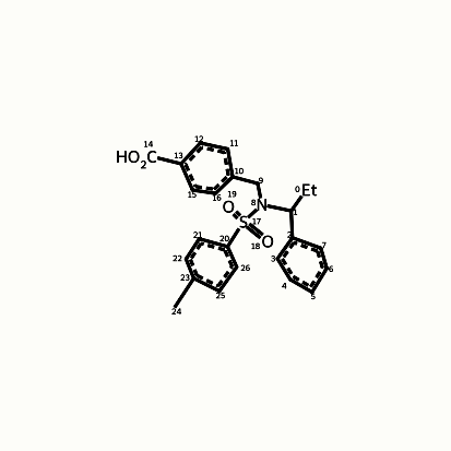 CCC(c1ccccc1)N(Cc1ccc(C(=O)O)cc1)S(=O)(=O)c1ccc(C)cc1